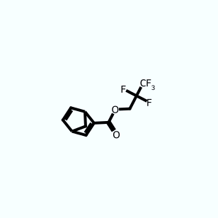 O=C(OCC(F)(F)C(F)(F)F)C1=CC2C=CC1C2